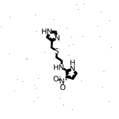 O=[N+]([O-])c1cc[nH]c1NCCSCc1c[nH]cn1